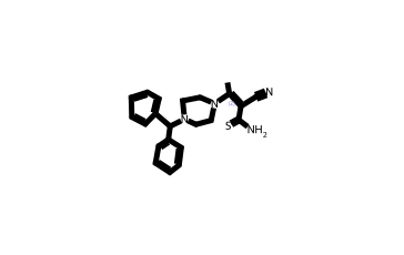 C/C(=C(\C#N)C(N)=S)N1CCN(C(c2ccccc2)c2ccccc2)CC1